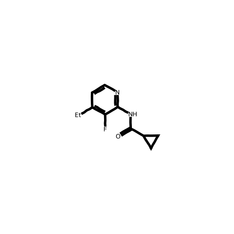 CCc1ccnc(NC(=O)C2CC2)c1F